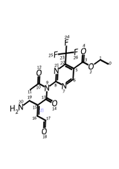 CCOC(=O)c1cnc(N(C(C)=O)C(=O)/C(=C\C=O)CN)nc1C(F)(F)F